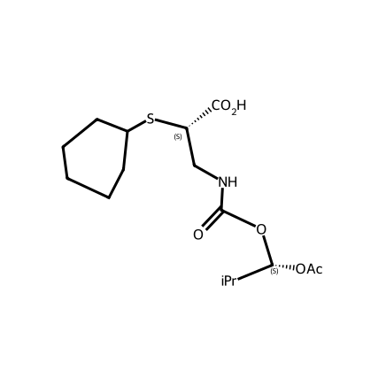 CC(=O)O[C@@H](OC(=O)NC[C@H](SC1CCCCC1)C(=O)O)C(C)C